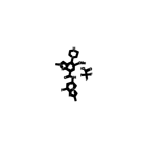 COc1cc(C(=O)Nc2cc(F)c3nc(C)cn3c2)c2nn(C)cc2c1N1CCNCC1.O=C(O)C(F)(F)F